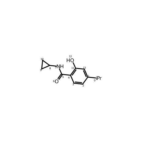 CC(C)c1ccc(C(=O)NC2CC2)c(O)c1